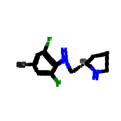 N#Cc1cc(F)c(NC[C@@H]2CCCN2)c(F)c1